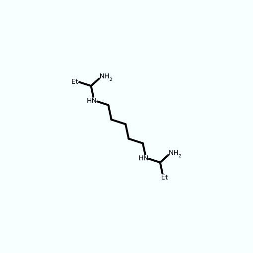 CCC(N)NCCCCCNC(N)CC